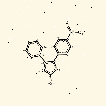 O=[N+]([O-])c1ccc(-c2nc(S)oc2-c2ccccc2)cc1